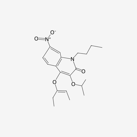 CC=C(CC)Oc1c(OC(C)C)c(=O)n(CCCC)c2cc([N+](=O)[O-])ccc12